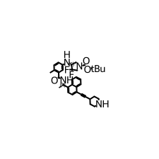 Cc1ccc(N[C@H]2CN(C(=O)OC(C)(C)C)CC2(F)F)cc1C(=O)N[C@H](C)c1ccc(C#CC2CCNCC2)c2ccccc12